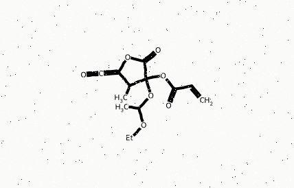 C=CC(=O)OC1(OC(C)OCC)C(=O)OC(=C=O)C1C